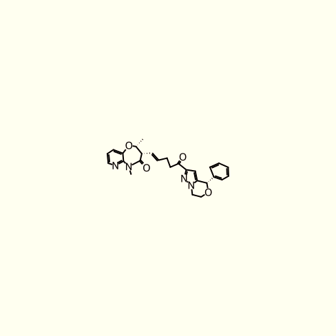 C[C@H]1Oc2cccnc2N(C)C(=O)[C@H]1/C=C/CCC(=O)c1cc2n(n1)CCO[C@H]2c1ccccc1